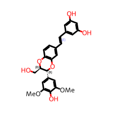 COc1cc([C@H]2Oc3cc(/C=C/c4cc(O)cc(O)c4)ccc3O[C@@H]2CO)cc(OC)c1O